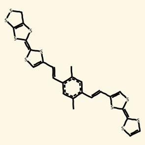 Cc1cc(/C=C/C2=CS/C(=C3/SC4=C(SSC4)S3)S2)c(C)cc1/C=C/C1=CSC(=C2SC=CS2)S1